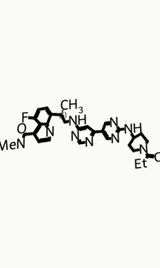 CCC(=O)N1CCC(Nc2ncc(-c3cc(NC[C@@H](C)c4ccc(F)c5c(C(=O)NC)ccnc45)ncn3)cn2)CC1